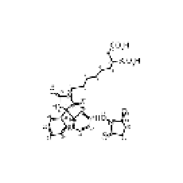 O=C(O)CC(CCCCCCN1C(=O)NC(c2ccccc2)(c2ccccc2)C1=O)C(=O)O.O=C1CCC(=O)N1O